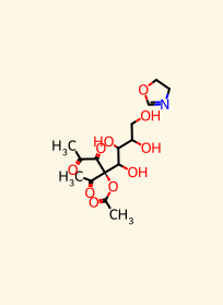 C1=NCCO1.CC(=O)O[C@@](C(C)=O)(C(=O)C(C)=O)C(O)C(O)C(O)CO